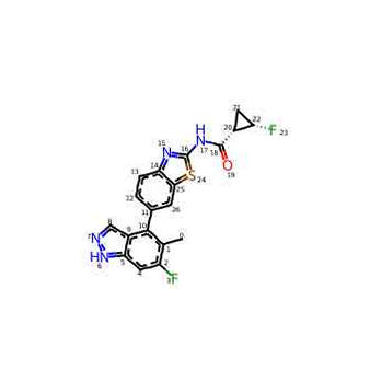 Cc1c(F)cc2[nH]ncc2c1-c1ccc2nc(NC(=O)[C@@H]3C[C@@H]3F)sc2c1